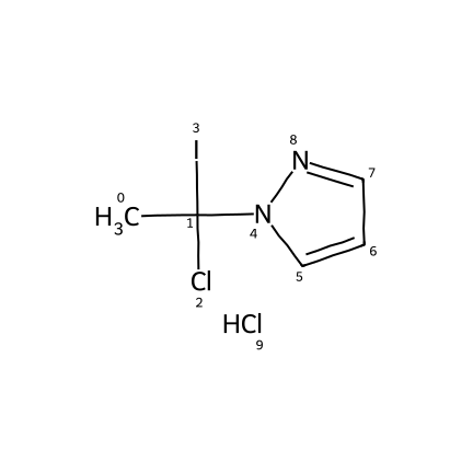 CC(Cl)(I)n1cccn1.Cl